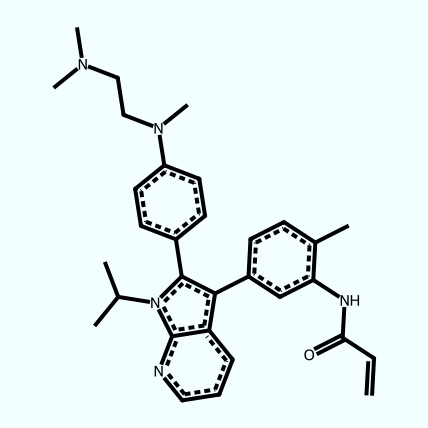 C=CC(=O)Nc1cc(-c2c(-c3ccc(N(C)CCN(C)C)cc3)n(C(C)C)c3ncccc23)ccc1C